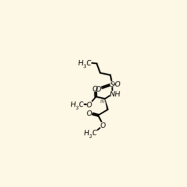 CCCCS(=O)(=O)N[C@@H](CC(=O)OC)C(=O)OC